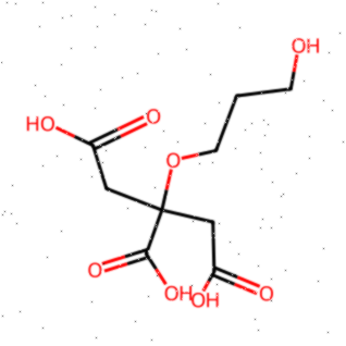 O=C(O)CC(CC(=O)O)(OCCCO)C(=O)O